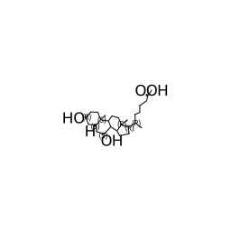 C[C@H](CCCCC(=O)O)[C@H]1CCC2C3C(CC[C@@]21C)[C@@]1(C)CC[C@@H](O)C[C@H]1C[C@@H]3O